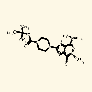 CN(C)c1nn(C)c(=O)c2nc(N3CCN(C(=O)OC(C)(C)C)CC3)[nH]c12